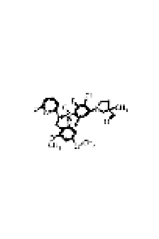 COc1ccc(CN(c2cccc(F)n2)S(=O)(=O)c2c(F)cc(N3CCC(C)(C=O)C3)c(Cl)c2F)c(OC)c1